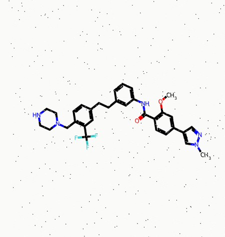 COc1cc(-c2cnn(C)c2)ccc1C(=O)Nc1cccc(CCc2ccc(CN3CCNCC3)c(C(F)(F)F)c2)c1